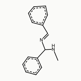 CNC(/N=C/c1ccccc1)c1ccccc1